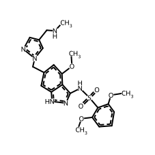 CNCc1cnn(Cc2cc(OC)c3c(NS(=O)(=O)c4c(OC)cccc4OC)n[nH]c3c2)c1